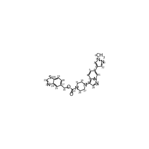 Cn1cc(-c2ccc3c(N4CCN(C(=O)OCc5ccc6scnc6c5)CC4)cnn3c2)cn1